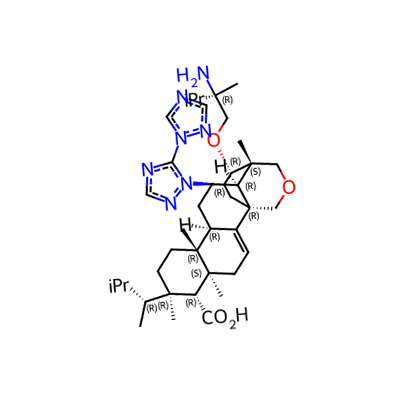 CC(C)[C@@H](C)[C@@]1(C)CC[C@]2(C)[C@H]3CC[C@@H]4[C@@]5(COC[C@@]4(C)[C@@H](OC[C@](C)(N)C(C)C)[C@H](n4ncnc4-n4cncn4)C5)C3=CC[C@@]2(C)[C@@H]1C(=O)O